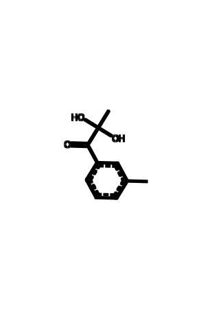 Cc1cccc(C(=O)C(C)(O)O)c1